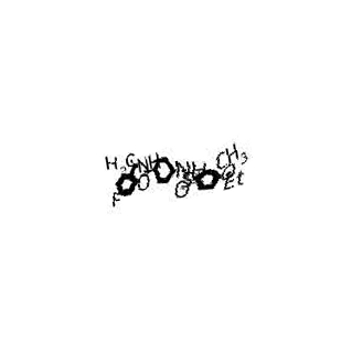 CCOc1ccc([S+]([O-])N[C@H]2CC[C@H](C(=O)N[C@H](C)c3ccc(F)cc3)CC2)cc1C